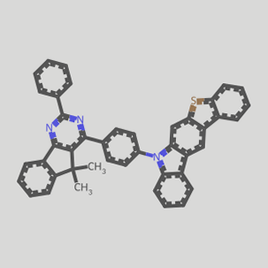 CC1(C)c2ccccc2-c2nc(-c3ccccc3)nc(-c3ccc(-n4c5ccccc5c5cc6c(cc54)sc4ccccc46)cc3)c21